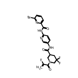 C=C(F)C(=O)N1CC(C(=O)Nc2ccc(NC(=O)c3cccc(Br)n3)nc2)CC(F)(F)C1